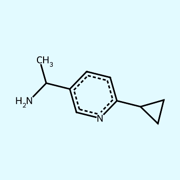 CC(N)c1ccc(C2CC2)nc1